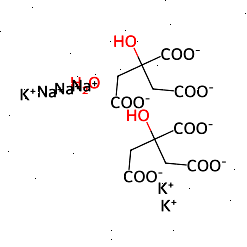 O.O=C([O-])CC(O)(CC(=O)[O-])C(=O)[O-].O=C([O-])CC(O)(CC(=O)[O-])C(=O)[O-].[K+].[K+].[K+].[Na+].[Na+].[Na+]